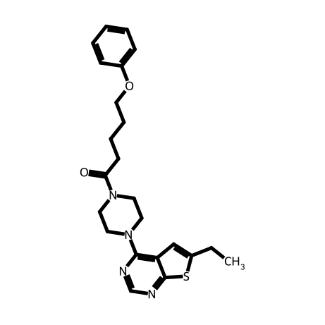 CCc1cc2c(N3CCN(C(=O)CCCCOc4ccccc4)CC3)ncnc2s1